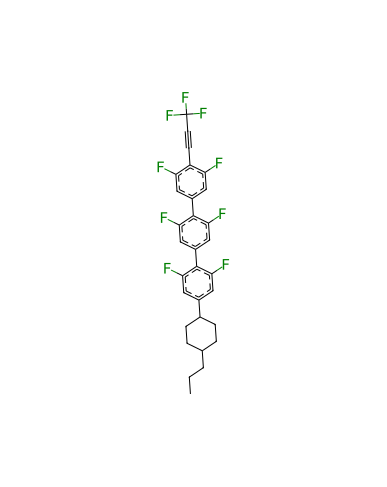 CCCC1CCC(c2cc(F)c(-c3cc(F)c(-c4cc(F)c(C#CC(F)(F)F)c(F)c4)c(F)c3)c(F)c2)CC1